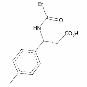 CCC(=O)NC(CC(=O)O)c1ccc(C)cc1